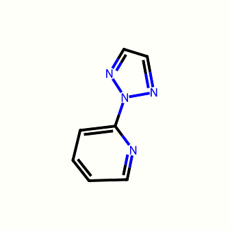 c1ccc(-n2nccn2)nc1